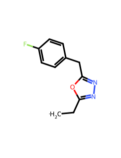 [CH2]Cc1nnc(Cc2ccc(F)cc2)o1